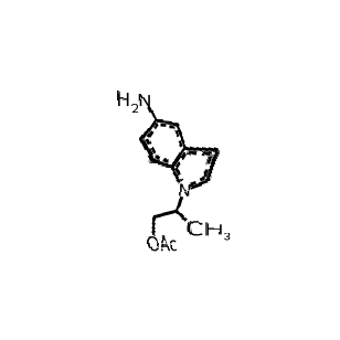 CC(=O)OCC(C)n1ccc2cc(N)ccc21